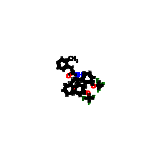 Cc1ccccc1CC(=O)NC(Cc1ccccc1)(c1cccc(OC(F)(F)F)c1)c1cccc(OC(F)(F)F)c1